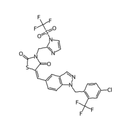 O=C1SC(=Cc2ccc3c(cnn3Cc3ccc(Cl)cc3C(F)(F)F)c2)C(=O)N1Cc1nccn1S(=O)(=O)C(F)(F)F